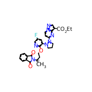 CCOC(=O)c1cnn2ccc(N3CCCN3c3cc(F)cnc3OCC[C@@H](C)N3C(=O)c4ccccc4C3=O)nc12